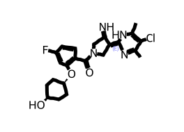 CC1=N/C(=C2\CN(C(=O)c3ccc(F)cc3O[C@H]3CC[C@H](O)CC3)CC2=N)NC(C)=C1Cl